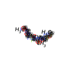 Cc1cc(CC(CS(C)(=O)=O)Nc2cccc(C(=O)N3CCc4cc(C(=O)Nc5c(C)cccc5F)sc4-c4ccccc43)n2)cc(F)c1NC(=O)c1cc2c(s1)-c1ccccc1N(C(=O)c1cccc(NCC3(S(C)(=O)=O)CC3)n1)CC2